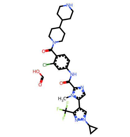 Cn1c(-c2cn(C3CC3)nc2C(F)(F)F)cnc1C(=O)Nc1ccc(C(=O)N2CCC(C3CCNCC3)CC2)c(Cl)c1.O=CO